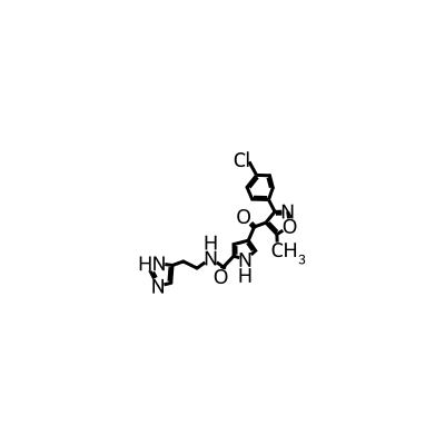 Cc1onc(-c2ccc(Cl)cc2)c1C(=O)c1c[nH]c(C(=O)NCCc2cnc[nH]2)c1